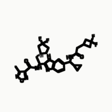 Cc1nonc1C(=O)NC(C[C@H]1CCC(F)(F)C1)c1nc2ccc(C(NC(=O)CC3CC(F)(F)C3)C3CC3)cc2[nH]1